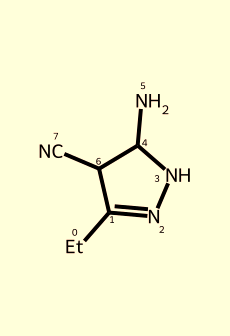 CCC1=NNC(N)C1C#N